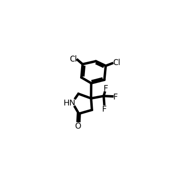 O=C1CC(c2cc(Cl)cc(Cl)c2)(C(F)(F)F)CN1